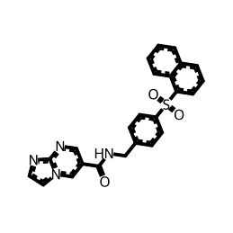 O=C(NCc1ccc(S(=O)(=O)c2cccc3ccccc23)cc1)c1cnc2nccn2c1